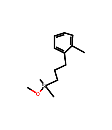 CO[Si](C)(C)CCCc1ccccc1C